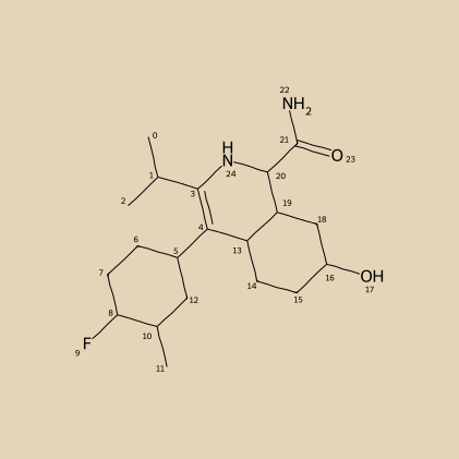 CC(C)C1=C(C2CCC(F)C(C)C2)C2CCC(O)CC2C(C(N)=O)N1